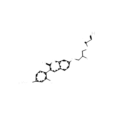 C=CC(=O)OCC(COc1ccc2cc(-c3ccc(CCCCC)cc3CC)c(=O)oc2c1)C(F)(F)F